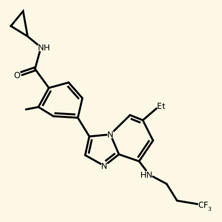 CCc1cc(NCCC(F)(F)F)c2ncc(-c3ccc(C(=O)NC4CC4)c(C)c3)n2c1